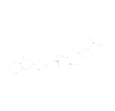 N=C(N)c1cccc(CC(NC(=O)CNS(=O)(=O)c2ccc3ccccc3c2)C(=O)O)c1